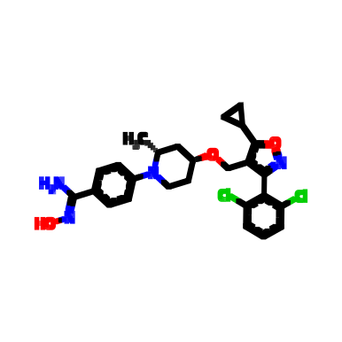 C[C@@H]1C[C@@H](OCc2c(-c3c(Cl)cccc3Cl)noc2C2CC2)CCN1c1ccc(/C(N)=N/O)cc1